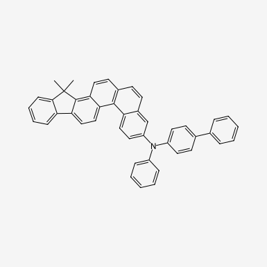 CC1(C)c2ccccc2-c2ccc3c(ccc4ccc5cc(N(c6ccccc6)c6ccc(-c7ccccc7)cc6)ccc5c43)c21